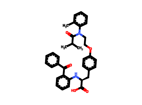 Cc1ccccc1N(CCOc1ccc(C[C@H](Nc2ccccc2C(=O)c2ccccc2)C(=O)O)cc1)C(=O)C(C)C